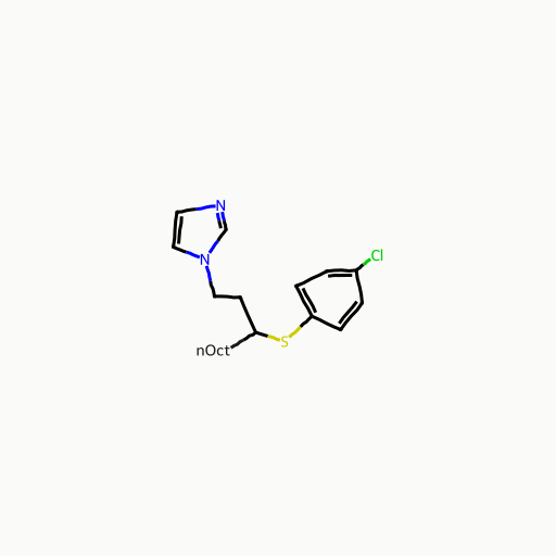 CCCCCCCCC(CCn1ccnc1)Sc1ccc(Cl)cc1